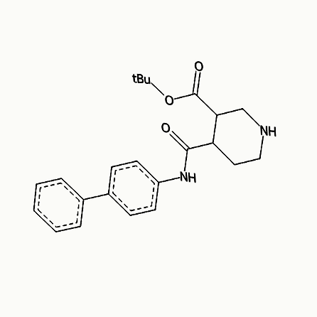 CC(C)(C)OC(=O)C1CNCCC1C(=O)Nc1ccc(-c2ccccc2)cc1